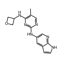 Cc1cnc(Nc2cnc3[nH]ccc3c2)nc1NC1COC1